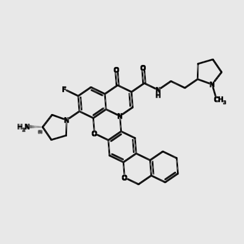 CN1CCCC1CCNC(=O)c1cn2c3c(c(N4CC[C@H](N)C4)c(F)cc3c1=O)Oc1cc3c(cc1-2)C1=C(C=CCC1)CO3